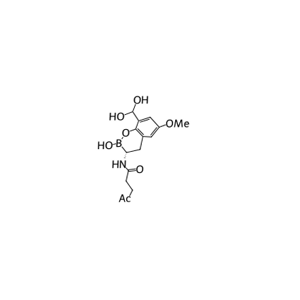 COc1cc2c(c(C(O)O)c1)OB(O)[C@@H](NC(=O)CCC(C)=O)C2